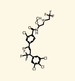 COC(CSCC(F)(F)F)NC(=O)c1ccc(/C(F)=C/C(c2cc(Cl)c(Cl)c(Cl)c2)C(F)(F)F)cc1Cl